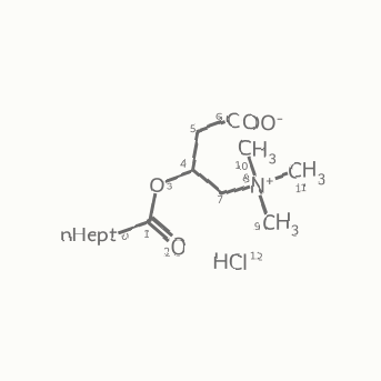 CCCCCCCC(=O)OC(CC(=O)[O-])C[N+](C)(C)C.Cl